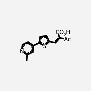 CC(=O)/C(=C/c1ccc(-c2ccnc(C)c2)s1)C(=O)O